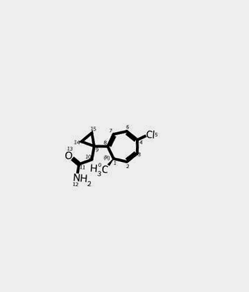 C[C@@H]1C=CC(Cl)=CC=C1C1(CC(N)=O)CC1